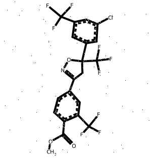 COC(=O)c1ccc(C2=NOC(c3cc(Cl)cc(C(F)(F)F)c3)(C(F)(F)F)C2)cc1C(F)(F)F